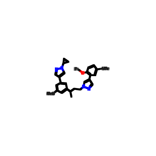 COc1cc(-c2cnn(C3CC3)c2)cc(C(C)CCn2cc(-c3cc(SC)ccc3OC(C)C)cn2)c1